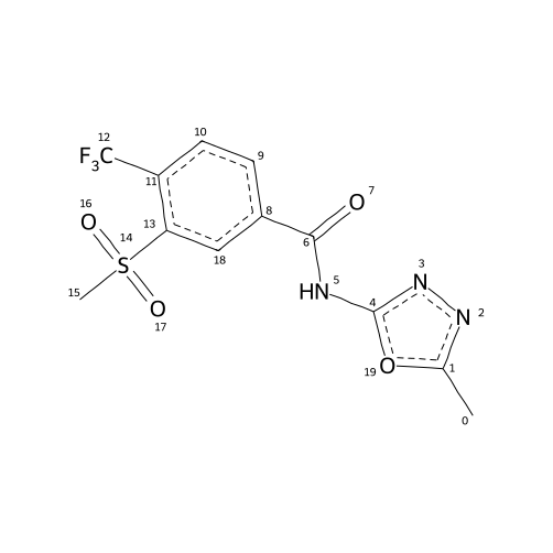 Cc1nnc(NC(=O)c2ccc(C(F)(F)F)c(S(C)(=O)=O)c2)o1